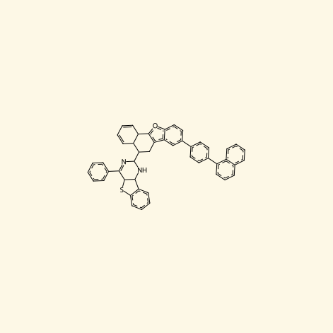 C1=CC2c3oc4ccc(-c5ccc(-c6cccc7ccccc67)cc5)cc4c3CC(C3N=C(c4ccccc4)C4Sc5ccccc5C4N3)C2C=C1